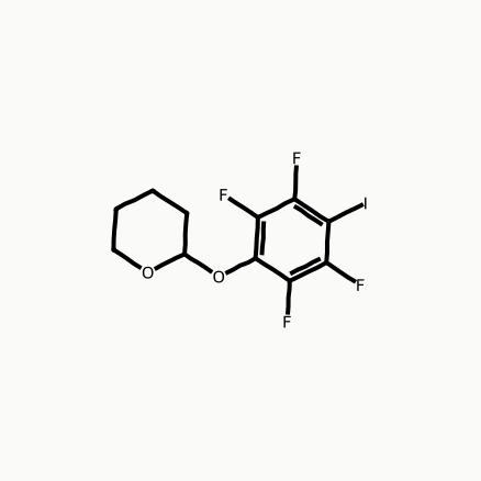 Fc1c(F)c(OC2CCCCO2)c(F)c(F)c1I